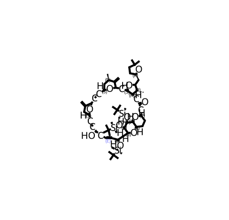 C=C1C[C@@H]2CCC(O)C/C=C/[C@H](O[Si](C)(C)C(C)(C)C)[C@@H]3O[C@H]4CC[C@H](CC(=O)C[C@H]5[C@H](CC6O[C@@H](CCC1O2)C[C@@H](C)C6=C)OC(C[C@H]1CCC(C)(C)O1)[C@@H]5C)O[C@@H]4[C@H](O[Si](C)(C)C(C)(C)C)[C@@H]3O[Si](C)(C)C(C)(C)C